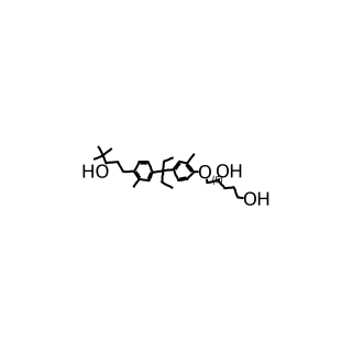 CCC(CC)(c1ccc(CCC(O)C(C)(C)C)c(C)c1)c1ccc(OC[C@@H](O)CCCO)c(C)c1